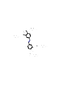 COCOc1ccc(/C=C/c2ccc(C(=O)OC)c(C(=O)OC)c2)cc1OCOC